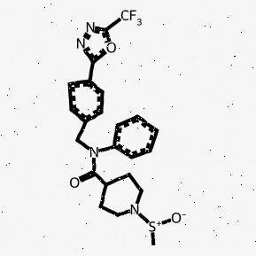 C[S+]([O-])N1CCC(C(=O)N(Cc2ccc(-c3nnc(C(F)(F)F)o3)cc2)c2ccccc2)CC1